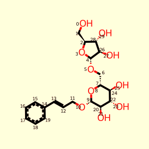 OC[C@@H]1O[C@@H](OC[C@H]2O[C@@H](OC/C=C/c3ccccc3)[C@H](O)[C@@H](O)[C@@H]2O)[C@H](O)[C@H]1O